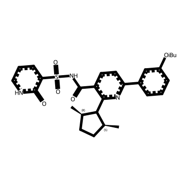 CC(C)COc1cccc(-c2ccc(C(=O)NS(=O)(=O)c3ccc[nH]c3=O)c(C3[C@H](C)CC[C@@H]3C)n2)c1